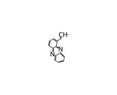 [CH]=Cc1cccc2nc3ccccc3nc12